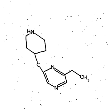 CCc1cncc(CC2CCNCC2)n1